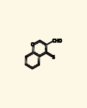 O=Cc1coc2ccccc2c1=S